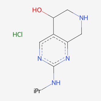 CC(C)Nc1ncc2c(n1)CNCC2O.Cl